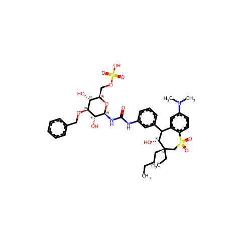 CCCC[C@]1(CC)CS(=O)(=O)c2ccc(N(C)C)cc2C(c2cccc(NC(=O)N[C@@H]3O[C@H](COS(=O)(=O)O)[C@@H](O)[C@H](OCc4ccccc4)[C@H]3O)c2)[C@H]1O